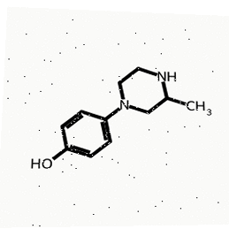 CC1CN(c2ccc(O)cc2)CCN1